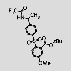 COc1ccc(S(=O)(=O)c2ccc([C@H](C)NC(=O)C(F)(F)F)cc2)c(C(=O)OC(C)(C)C)c1